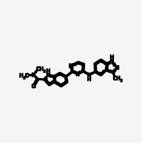 Cc1n[nH]c2ccc(Nc3ccnc(-c4ccc5cc(C(=O)N(C)C)[nH]c5c4)n3)cc12